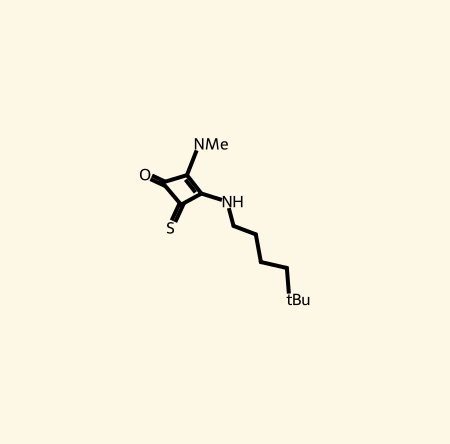 CNc1c(NCCCCC(C)(C)C)c(=S)c1=O